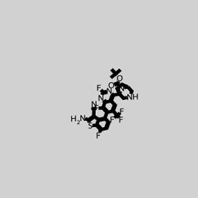 CC(C)(C)OC(=O)N1C2CCC1(c1nc(F)nc3c(F)c(-c4ccc(F)c5sc(N)c(C#N)c45)c(C(F)(F)F)cc13)CNC2